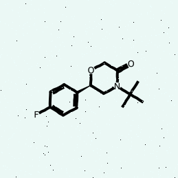 CC(C)(C)N1C[C@@H](c2ccc(F)cc2)OCC1=O